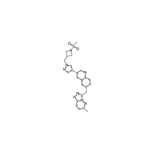 Cc1ccc2nnc(Cc3ccc4ncc(-c5cnn(CC6CN(S(C)(=O)=O)C6)c5)cc4c3)n2n1